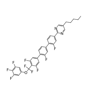 CCCCCc1cnc(-c2ccc(-c3ccc(-c4cc(F)c(C(F)(F)Oc5cc(F)c(F)c(F)c5)c(F)c4)c(F)c3)c(F)c2)nc1